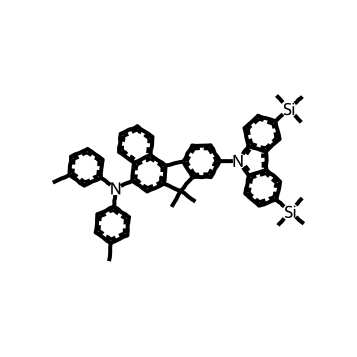 Cc1ccc(N(c2cccc(C)c2)c2cc3c(c4ccccc24)-c2ccc(-n4c5ccc([Si](C)(C)C)cc5c5cc([Si](C)(C)C)ccc54)cc2C3(C)C)cc1